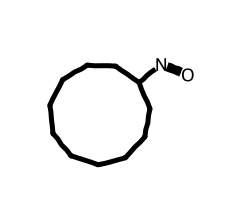 O=NC1CCCCCCCCCC1